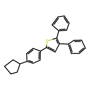 c1ccc(-c2cc(-c3ccc(C4CCCC4)cc3)sc2-c2ccccc2)cc1